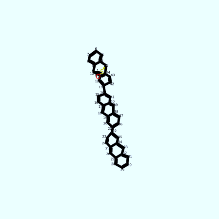 O=C1SC2c3ccccc3C1c1cc(-c3ccc4cc5cc(-c6ccc7cc8ccccc8cc7c6)ccc5cc4c3)ccc12